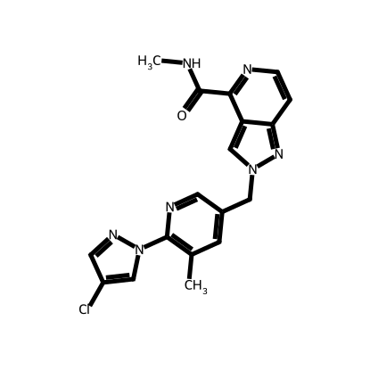 CNC(=O)c1nccc2nn(Cc3cnc(-n4cc(Cl)cn4)c(C)c3)cc12